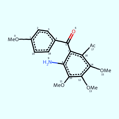 COc1ccc(C(=O)c2c(N)c(OC)c(OC)c(OC)c2C(C)=O)cc1